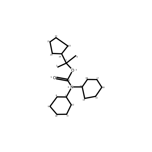 CC(C)(OC(=O)N(C1CCCCC1)C1CCCCC1)C1CCCC1